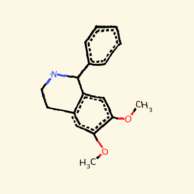 COc1cc2c(cc1OC)C(c1ccccc1)[N]CC2